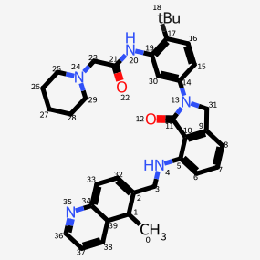 CC1C(CNc2cccc3c2C(=O)N(c2ccc(C(C)(C)C)c(NC(=O)CN4CCCCC4)c2)C3)=CC=C2N=CC=CC21